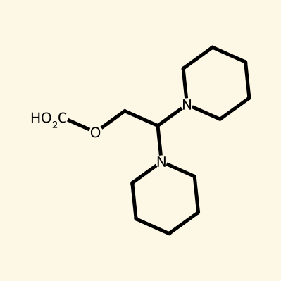 O=C(O)OCC(N1CCCCC1)N1CCCCC1